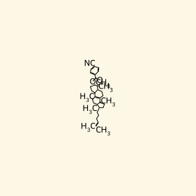 CC(C)=CCCCC1CCC2(C)C3=C(CCC12C)C1(C)CCC(OC(=O)c2ccc(C#N)cc2)C(C)(C)C1CC3